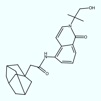 CC(C)(CO)n1ccc2c(NC(=O)CC34CC5CC(CC(C5)C3)C4)cccc2c1=O